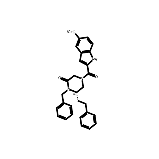 COc1ccc2[nH]c(C(=O)N3CC(=O)N(Cc4ccccc4)[C@@H](CCc4ccccc4)C3)cc2c1